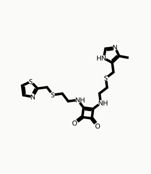 Cc1nc[nH]c1CSCCNc1c(NCCSCc2nccs2)c(=O)c1=O